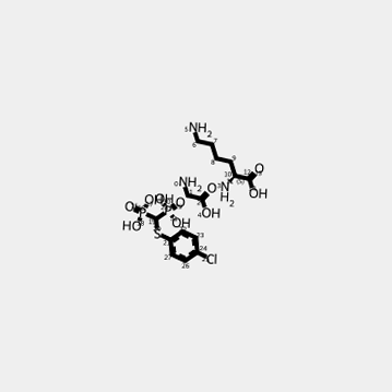 NCC(=O)O.NCCCC[C@H](N)C(=O)O.O=P(O)(O)C(Sc1ccc(Cl)cc1)P(=O)(O)O